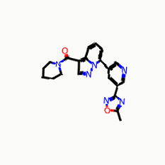 Cc1nc(-c2cncc(-c3cccc4c(C(=O)N5CCCCC5)cnn34)c2)no1